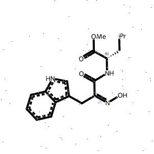 COC(=O)[C@H](CC(C)C)NC(=O)/C(Cc1c[nH]c2ccccc12)=N\O